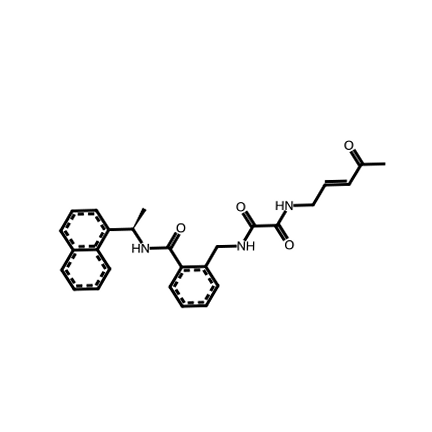 CC(=O)/C=C/CNC(=O)C(=O)NCc1ccccc1C(=O)N[C@H](C)c1cccc2ccccc12